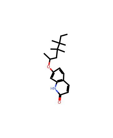 CCC(C)(C)C(C)(C)CC(C)Oc1ccc2ccc(=O)[nH]c2c1